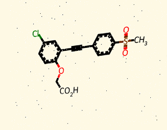 CS(=O)(=O)c1ccc(C#Cc2cc(Cl)ccc2OCC(=O)O)cc1